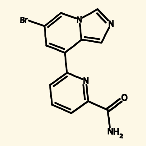 NC(=O)c1cccc(-c2cc(Br)cn3cncc23)n1